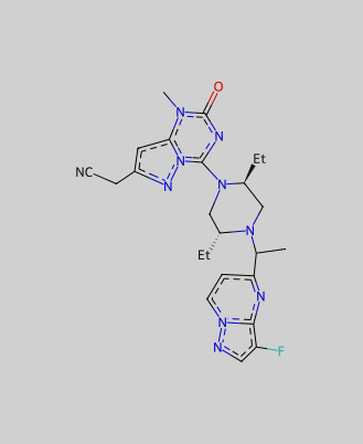 CC[C@H]1CN(C(C)c2ccn3ncc(F)c3n2)[C@H](CC)CN1c1nc(=O)n(C)c2cc(CC#N)nn12